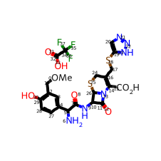 COCc1cc(C(N)C(=O)NC2C(=O)N3C(C(=O)O)=C(CSc4cnn[nH]4)CSC23)ccc1O.O=C(O)C(F)(F)F